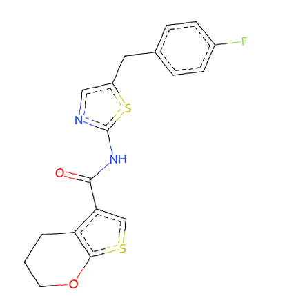 O=C(Nc1ncc(Cc2ccc(F)cc2)s1)c1csc2c1CCCO2